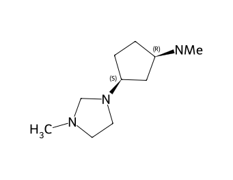 CN[C@@H]1CC[C@H](N2CCN(C)C2)C1